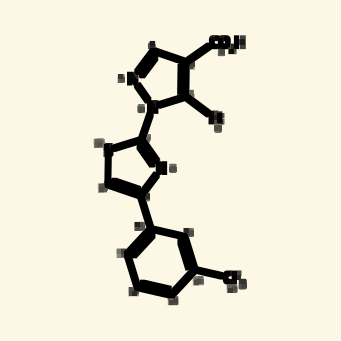 CCc1c(C(=O)O)cnn1-c1nc(-c2cccc(C(F)(F)F)c2)cs1